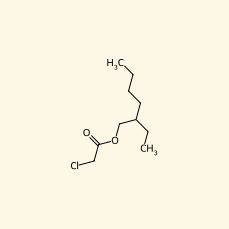 CCCCC(CC)COC(=O)CCl